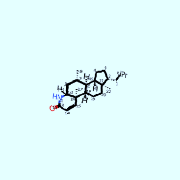 CC(C)C[C@H]1CC[C@H]2[C@@H]3[C@@H](C)C[C@H]4NC(=O)C=C[C@]4(C)[C@H]3CC[C@]12C